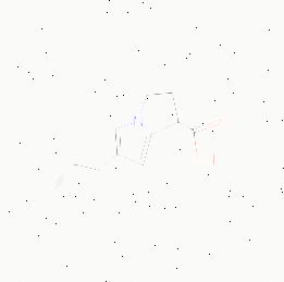 C=CCc1cc2n(c1)CCC2C(=O)O